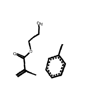 C=C(C)C(=O)OCCO.Cc1ccccc1